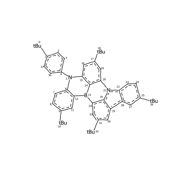 CC(C)(C)c1ccc(N2c3ccc(C(C)(C)C)cc3B3c4c2cc(C(C)(C)C)cc4-n2c4ccc(C(C)(C)C)cc4c4cc(C(C)(C)C)cc3c42)cc1